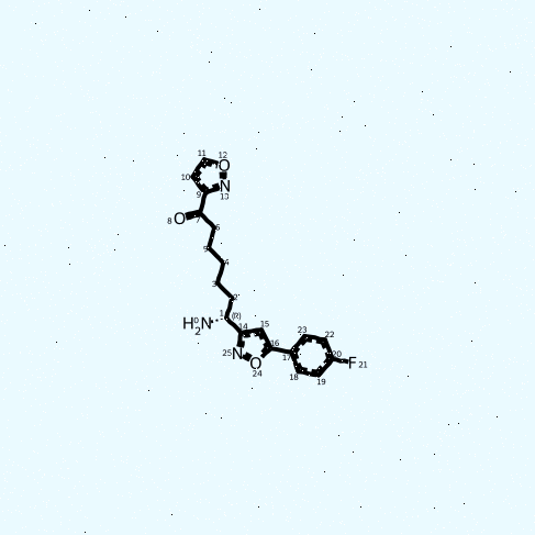 N[C@H](CCCCCC(=O)c1ccon1)c1cc(-c2ccc(F)cc2)on1